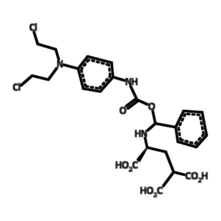 O=C(Nc1ccc(N(CCCl)CCCl)cc1)OC(N[C@@H](CC(C(=O)O)C(=O)O)C(=O)O)c1ccccc1